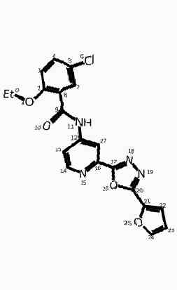 CCOc1ccc(Cl)cc1C(=O)Nc1ccnc(-c2nnc(-c3ccco3)o2)c1